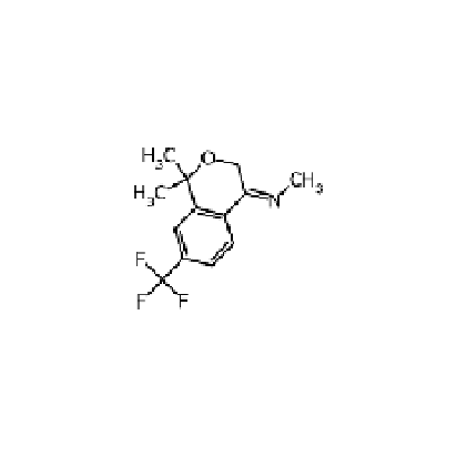 CN=C1COC(C)(C)c2cc(C(F)(F)F)ccc21